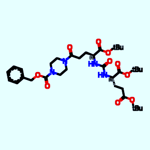 CC(C)(C)OC(=O)CC[C@H](NC(=O)N[C@@H](CCC(=O)N1CCN(C(=O)OCc2ccccc2)CC1)C(=O)OC(C)(C)C)C(=O)OC(C)(C)C